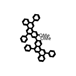 COc1cc2c(cc1-c1cc3c(-c4ccccc4)cc4c5ccccc5c(-c5ccccc5)cc4c3cc1OC)c(-c1ccccc1)cc1c3ccccc3c(-c3ccccc3)cc21